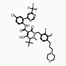 CN1C(C(C)(C)C)C(O)=C(C(=O)Nc2ccc(Cl)cc2-c2cc(C(F)(F)F)ncn2)C(=O)N1Cc1ccc(CCCN2CCOCC2)c(F)c1F